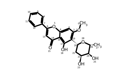 COc1cc2oc(-c3ccccc3)cc(=O)c2c(O)c1[C@H]1C[C@H](O)[C@H](O)[C@@H](C)O1